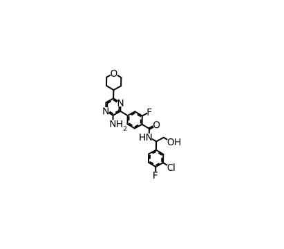 Nc1ncc(C2CCOCC2)nc1-c1ccc(C(=O)NC(CO)c2ccc(F)c(Cl)c2)c(F)c1